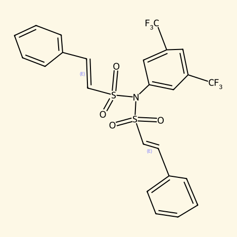 O=S(=O)(/C=C/c1ccccc1)N(c1cc(C(F)(F)F)cc(C(F)(F)F)c1)S(=O)(=O)/C=C/c1ccccc1